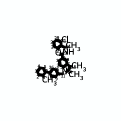 Cc1ccccc1-c1ccc(Cn2c(C)c(C)c3cc(C(=O)N[C@@H](C)c4ccccc4Cl)ccc32)cc1